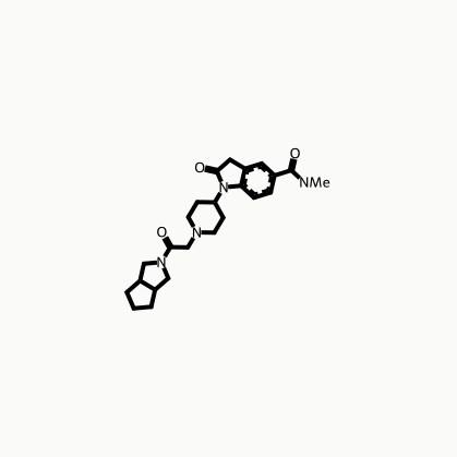 CNC(=O)c1ccc2c(c1)CC(=O)N2C1CCN(CC(=O)N2CC3CCCC3C2)CC1